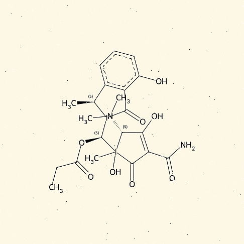 CCC(=O)O[C@@H](I1C(=O)c2c(O)cccc2[C@@H]1C)I1(C)(O)C(=O)C(C(N)=O)=C(O)[C@H]1N(C)C